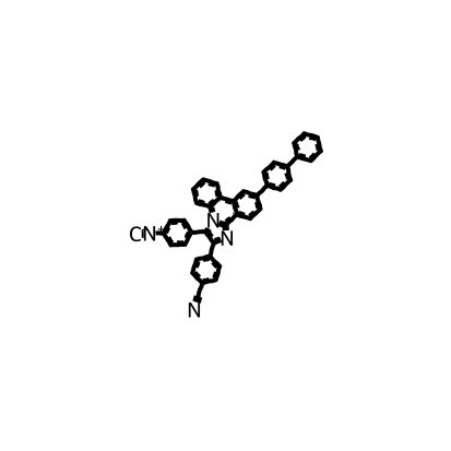 [C-]#[N+]c1ccc(-c2c(-c3ccc(C#N)cc3)nc3c4ccc(-c5ccc(-c6ccccc6)cc5)cc4c4ccccc4n23)cc1